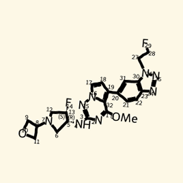 COc1nc(N[C@@H]2CN(C3COC3)C[C@@H]2F)nn2ccc(-c3ccc4nnn(CCF)c4c3)c12